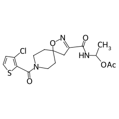 CC(=O)OC(C)NC(=O)C1=NOC2(CCN(C(=O)c3sccc3Cl)CC2)C1